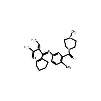 CC(=N)C(=C\N)/C(=N/c1ccc(N)c(C(=N)N2CCN(C)CC2)c1)C1=CCCCC1